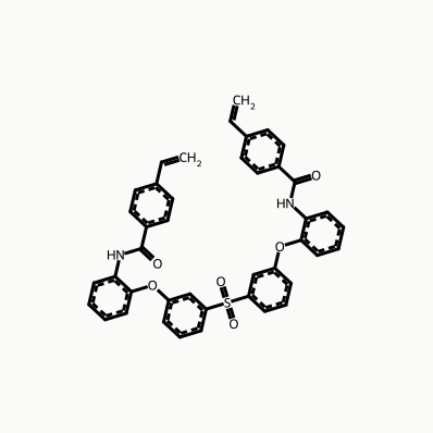 C=Cc1ccc(C(=O)Nc2ccccc2Oc2cccc(S(=O)(=O)c3cccc(Oc4ccccc4NC(=O)c4ccc(C=C)cc4)c3)c2)cc1